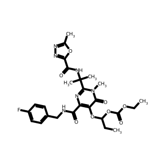 CCOC(=O)OC(CC)Oc1c(C(=O)NCc2ccc(F)cc2)nc(C(C)(C)NC(=O)c2nnc(C)o2)n(C)c1=O